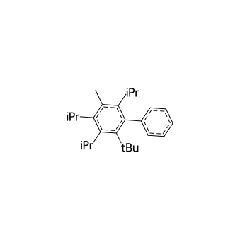 Cc1c(C(C)C)c(-c2ccccc2)c(C(C)(C)C)c(C(C)C)c1C(C)C